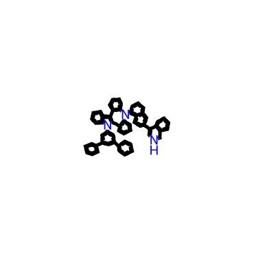 C1=C(c2ccc3c(N4c5ccccc5-c5c(n(-c6cc(-c7ccccc7)cc(-c7ccccc7)c6)c6ccccc56)-c5ccccc54)cccc3c2)c2ccccc2CN1